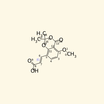 COc1ccc(/C=C/C(=O)O)c2c1C(=O)OC(C)(C)O2